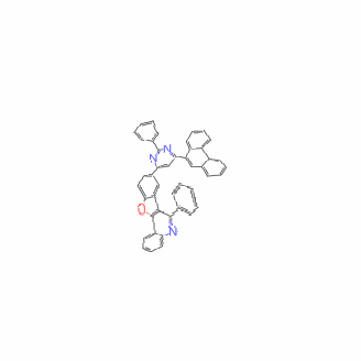 c1ccc(-c2nc(-c3ccc4oc5c6ccccc6nc(-c6ccccc6)c5c4c3)cc(-c3cc4ccccc4c4ccccc34)n2)cc1